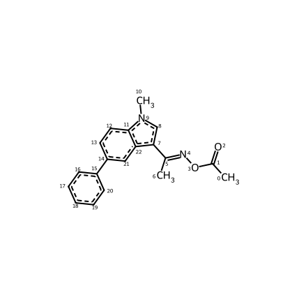 CC(=O)O/N=C(\C)c1cn(C)c2ccc(-c3ccccc3)cc12